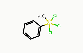 C[SH](Cl)(Cl)(Cl)c1ccccc1